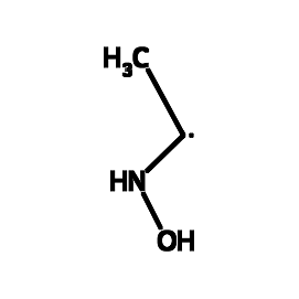 C[CH]NO